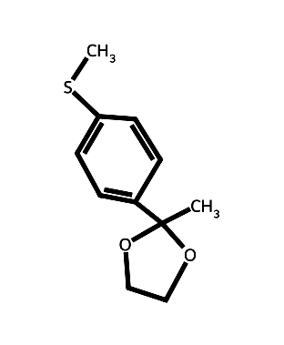 CSc1ccc(C2(C)OCCO2)cc1